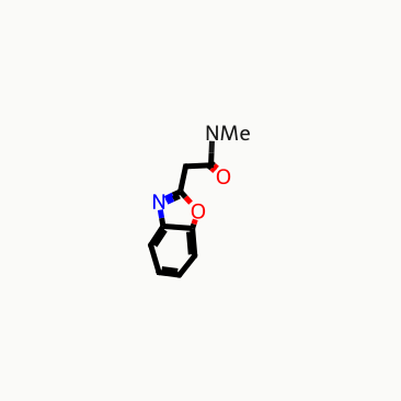 CNC(=O)Cc1nc2ccccc2o1